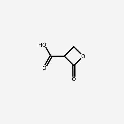 O=C(O)C1COC1=O